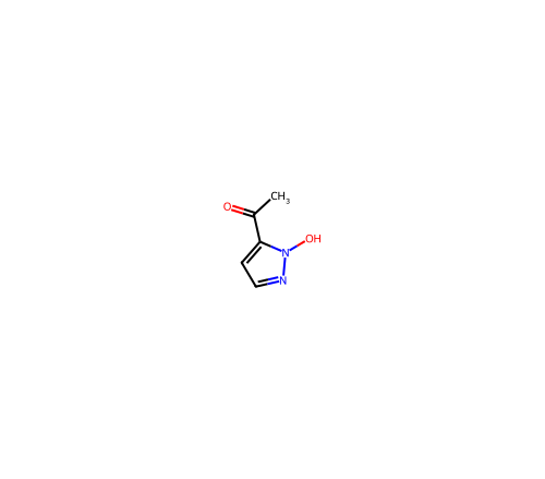 CC(=O)c1ccnn1O